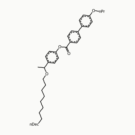 CCCCCCCCCCCCCCCCCCOC(C)c1ccc(OC(=O)c2ccc(-c3ccc(OCCC)cc3)cc2)cc1